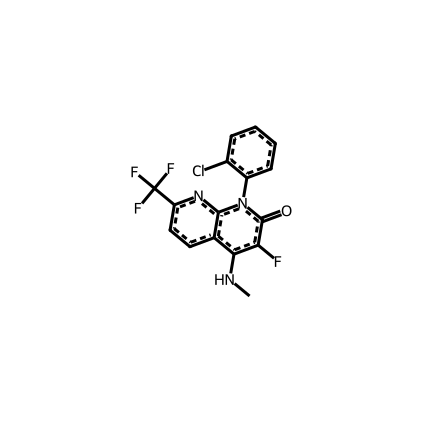 CNc1c(F)c(=O)n(-c2ccccc2Cl)c2nc(C(F)(F)F)ccc12